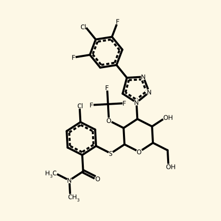 CN(C)C(=O)c1ccc(Cl)cc1SC1OC(CO)C(O)C(n2cc(-c3cc(F)c(Cl)c(F)c3)nn2)C1OC(F)(F)F